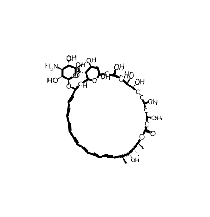 C[C@@H]1[C@H](O)[C@@H](C)/C=C/C=C/C=C/C=C/C=C/C=C/C=C/C(O[C@@H]2O[C@H](C)[C@@H](O)[C@H](N)[C@H]2O)C[C@@H]2O[C@](O)(CC(O)C[C@@H](O)[C@H](O)CCC(O)CC(O)CC(=O)O[C@H]1C)C[C@H](O)[C@H]2C(=O)O